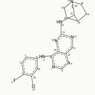 Fc1ccc(Nc2ncnc3cnc(NC4CN5CCC4CC5)nc23)cc1Cl